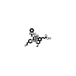 CC[C@@H]1CNc2c(cc(CCC(=O)O)cc2S(=O)(=O)N[C@@H](Cc2nc3ccccc3s2)C(=O)N2CCC(CCF)CC2)C1